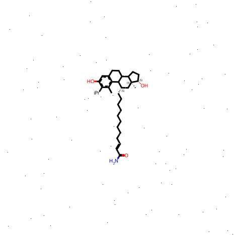 Cc1c(C(C)C)c(O)cc2c1C1C(CC2)C2CC[C@H](O)[C@@]2(C)C[C@@H]1CCCCCCCCCC=CC(N)=O